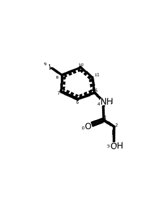 O=C(CO)Nc1ccc(I)cc1